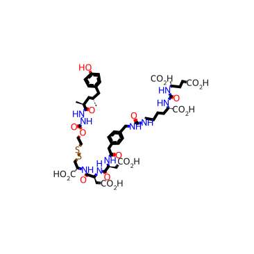 C[C@@H](Cc1ccc(O)cc1)C[C@H](C)C(=O)NNC(=O)OCCSSC[C@H](NC(=O)[C@H](CC(=O)O)NC(=O)[C@H](CC(=O)O)NC(=O)Cc1ccc(CNC(=O)NCCCC[C@H](NC(=O)N[C@@H](CCC(=O)O)C(=O)O)C(=O)O)cc1)C(=O)O